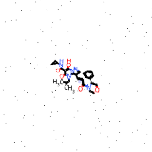 CC(C)Cn1c(=O)c(C(=O)NC2CC2)c(O)n2ncc(/C=C/C(=O)N3CCOC[C@H]3c3ccccc3)c12